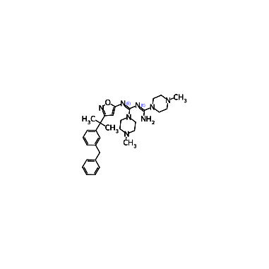 CN1CCN(/C(N)=N/C(=N/c2cc(C(C)(C)c3cccc(Cc4ccccc4)c3)no2)N2CCN(C)CC2)CC1